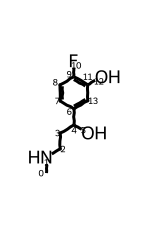 CNCCC(O)c1ccc(F)c(O)c1